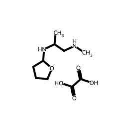 CNCC(C)NC1CCCO1.O=C(O)C(=O)O